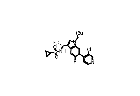 CC(C)(C)Cn1cc([C@H](NS(=O)(=O)C2CC2)C(F)(F)F)c2cc(F)c(-c3ccncc3Cl)cc21